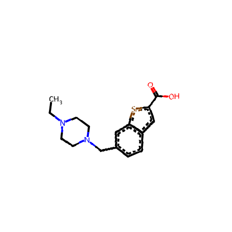 CCN1CCN(Cc2ccc3cc(C(=O)O)sc3c2)CC1